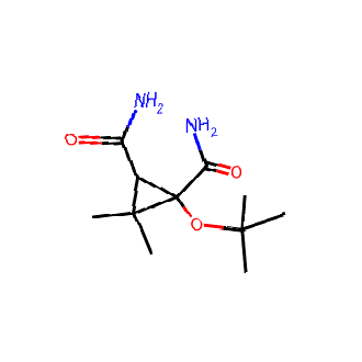 CC(C)(C)OC1(C(N)=O)C(C(N)=O)C1(C)C